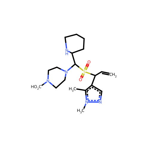 C=CC(c1cnn(C)c1C)S(=O)(=O)C(C1CCCCN1)N1CCN(C(=O)O)CC1